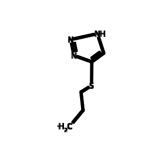 [CH2]CCSc1c[nH]nn1